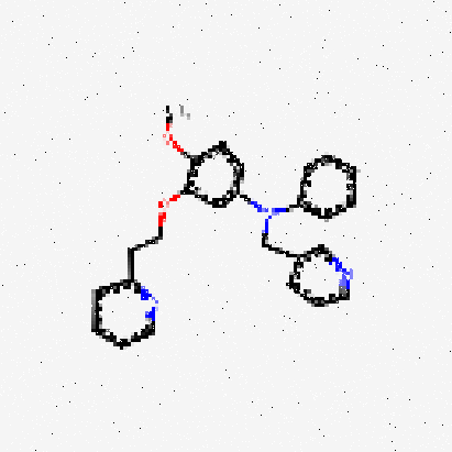 COc1ccc(N(Cc2cccnc2)c2ccccc2)cc1OCCc1ccccn1